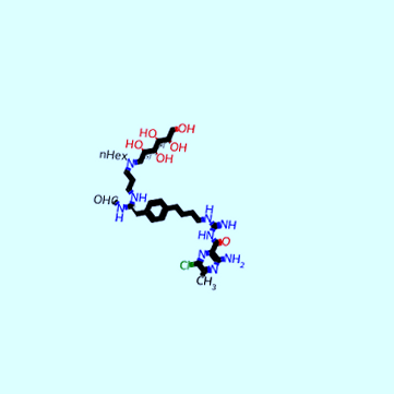 CCCCCCN(CCCN[C@@H](Cc1ccc(CCCCNC(=N)NC(=O)c2nc(Cl)c(C)nc2N)cc1)NC=O)C[C@H](O)[C@@H](O)[C@H](O)[C@H](O)CO